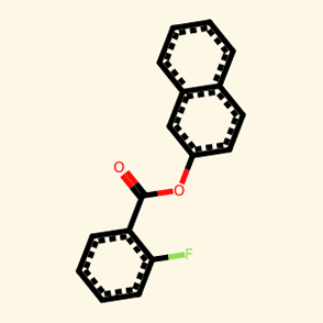 O=C(Oc1ccc2ccccc2c1)c1ccccc1F